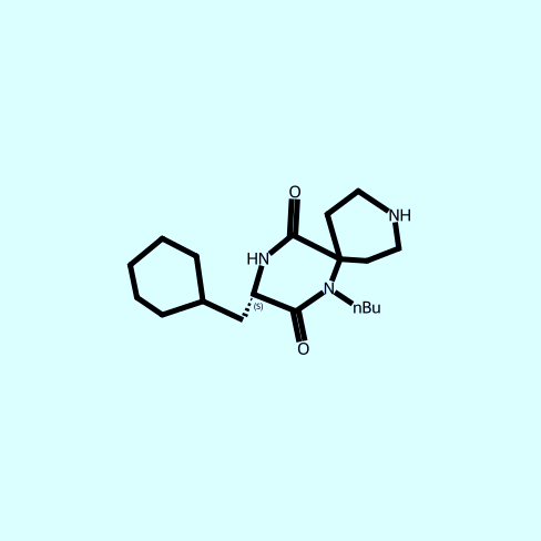 CCCCN1C(=O)[C@H](CC2CCCCC2)NC(=O)C12CCNCC2